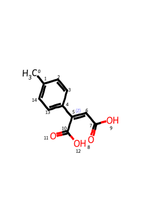 Cc1ccc(/C(=C/C(=O)O)C(=O)O)cc1